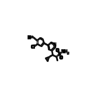 CC(C(c1cncc(-c2ccc(C#N)c(Cl)c2)c1)C1CC1)S(N)(=O)=O